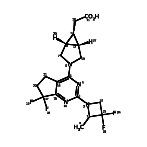 CC1N(c2nc(N3C[C@@H]4[C@@H](CC(=O)O)[C@@H]4C3)c3c(n2)C(F)(F)CC3)CC1(F)F